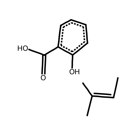 CC=C(C)C.O=C(O)c1ccccc1O